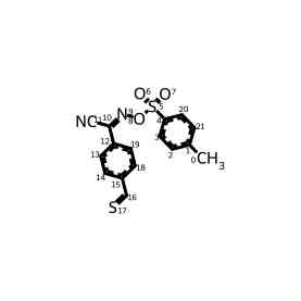 Cc1ccc(S(=O)(=O)ON=C(C#N)c2ccc(C=S)cc2)cc1